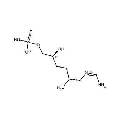 CC(CC[C@H](O)COP(=O)(O)O)C/N=C\N